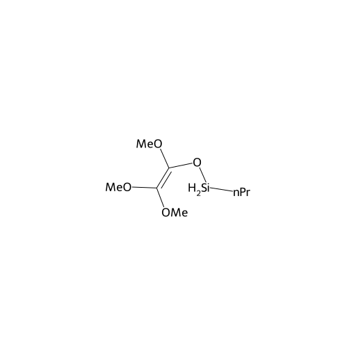 CCC[SiH2]OC(OC)=C(OC)OC